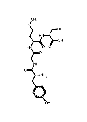 CSCC[C@H](NC(=O)CNC(=O)[C@@H](N)Cc1ccc(O)cc1)C(=O)N[C@@H](CO)C(=O)O